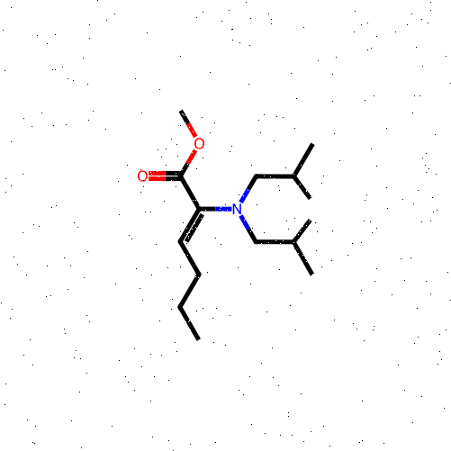 CCCC=C(C(=O)OC)N(CC(C)C)CC(C)C